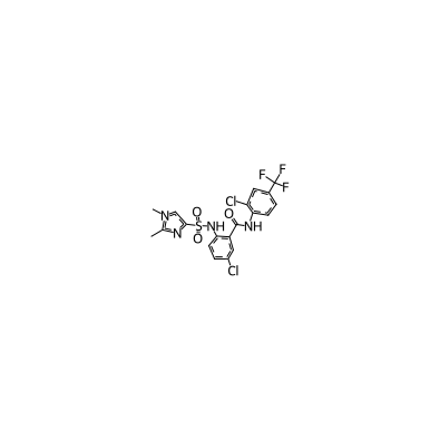 Cc1nc(S(=O)(=O)Nc2ccc(Cl)cc2C(=O)Nc2ccc(C(F)(F)F)cc2Cl)cn1C